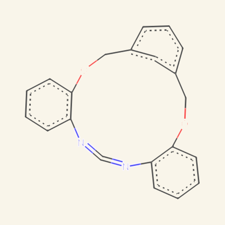 C1=Nc2ccccc2OCc2cccc(c2)COc2ccccc2N=1